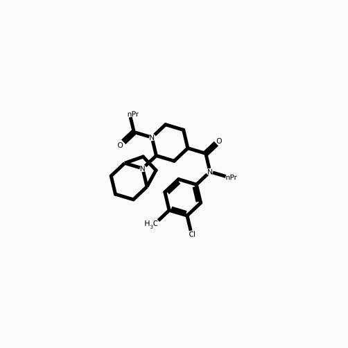 CCCC(=O)N1CCC(C(=O)N(CCC)c2ccc(C)c(Cl)c2)CC1N1C2CCCC1CC2